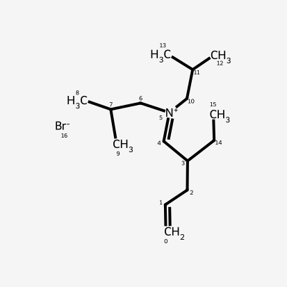 C=CCC(C=[N+](CC(C)C)CC(C)C)CC.[Br-]